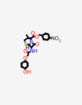 CC1=C(C(=O)OCc2ccc([N+](=O)[O-])cc2)N2C(=O)C(NC(=O)COc3ccc(O)cc3)[C@@H]2SC1